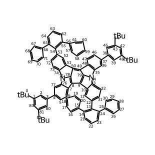 CC(C)(C)c1cc(-c2ccc3c4c5c6cc(-c7c(-c8ccccc8)cccc7-c7ccccc7)ccc6n6c7cc(-c8cc(C(C)(C)C)cc(C(C)(C)C)c8)ccc7c(c7c8cc(-c9c(-c%10ccccc%10)cccc9-c9ccccc9)ccc8n(c3c2)c74)c56)cc(C(C)(C)C)c1